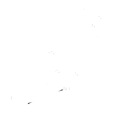 FC(F)(F)O[C@H]1CC[C@@H](Nc2ncc3c(-c4ccn5nccc5c4)c[nH]c3n2)CC1